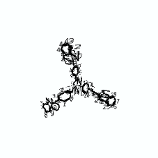 C1=CC(c2nc3ccccc3o2)CC=C1C1=NC(c2ccc(-c3cc4ccccc4s3)cc2)=NC(c2ccc(-c3nc4ccccc4s3)cc2)C1